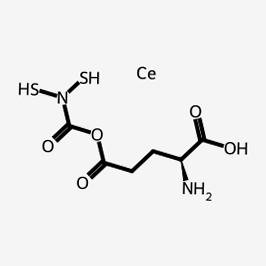 N[C@@H](CCC(=O)OC(=O)N(S)S)C(=O)O.[Ce]